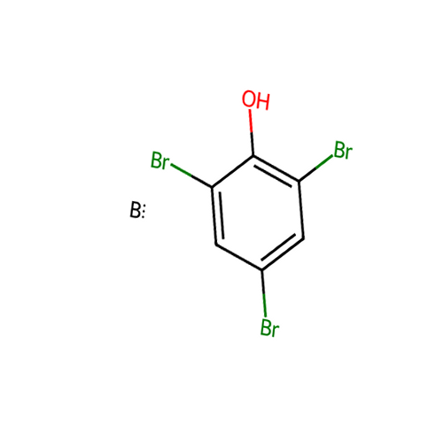 Oc1c(Br)cc(Br)cc1Br.[B]